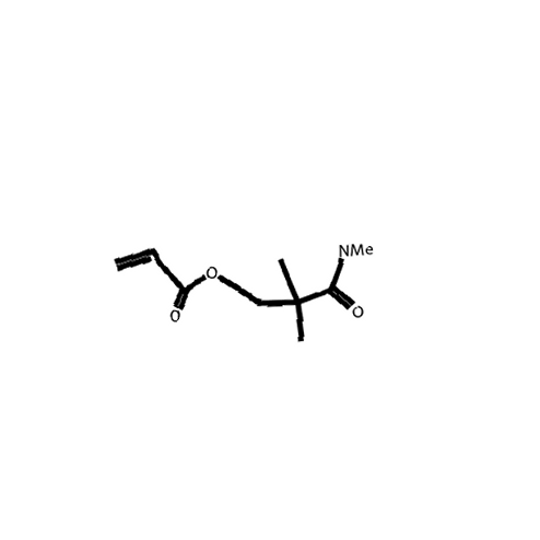 C=CC(=O)OCC(C)(C)C(=O)NC